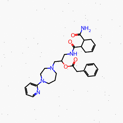 NC(=O)C1CC=CCC1C(=O)NCC(CN1CCCN(c2ccccn2)CC1)OC(=O)Cc1ccccc1